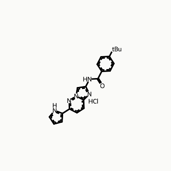 CC(C)(C)c1ccc(C(=O)Nc2cn3nc(-c4ccc[nH]4)ccc3n2)cc1.Cl